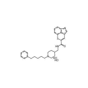 Cl.Cl.O=C(NCC1CCN(CCCCCc2ccccc2)CC1)C1=Cc2cnc3cccc(n23)S1